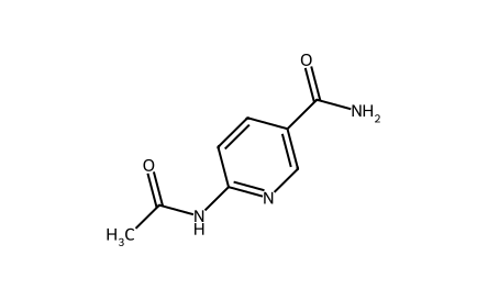 CC(=O)Nc1ccc(C(N)=O)cn1